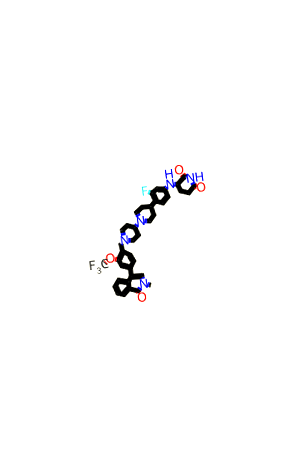 Cn1cc(-c2ccc(CN3CCC(N4CCC(c5ccc(NC6CCC(=O)NC6=O)cc5F)CC4)CC3)c(OC(F)(F)F)c2)c2ccccc2c1=O